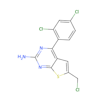 Nc1nc(-c2ccc(Cl)cc2Cl)c2cc(CCl)sc2n1